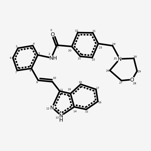 O=C(Nc1ccccc1/C=C/c1n[nH]c2ccccc12)c1ccc(CN2CCOCC2)cc1